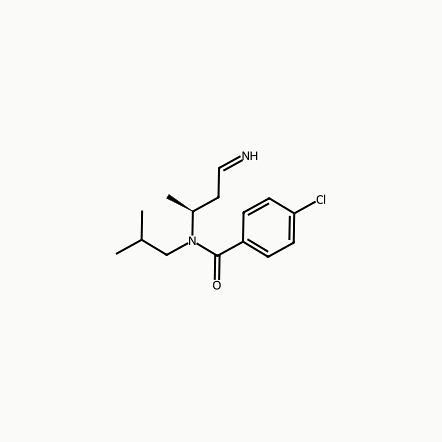 CC(C)CN(C(=O)c1ccc(Cl)cc1)[C@@H](C)CC=N